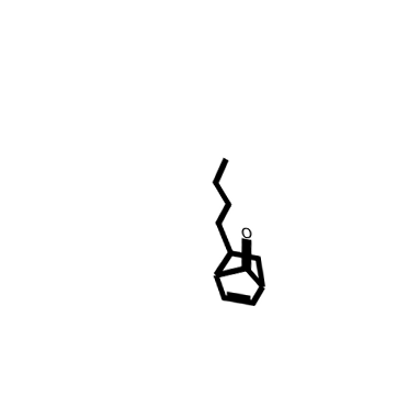 CCCCC1CC2C=CC1C2=O